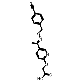 C/C(=N\OCc1ccc(C#N)cc1)c1ccc(OCC(=O)O)nc1